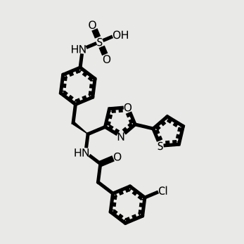 O=C(Cc1cccc(Cl)c1)N[C@@H](Cc1ccc(NS(=O)(=O)O)cc1)c1coc(-c2cccs2)n1